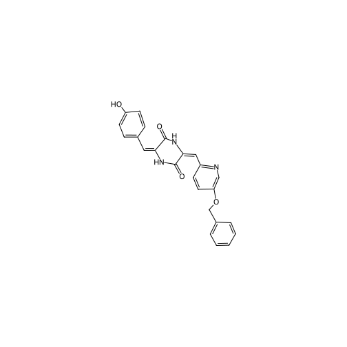 O=c1[nH]c(=Cc2ccc(OCc3ccccc3)cn2)c(=O)[nH]c1=Cc1ccc(O)cc1